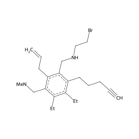 C#CCCCc1c(CC)c(CC)c(CNC)c(CC=C)c1CNCCBr